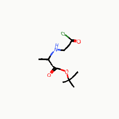 CC(NCC(=O)Cl)C(=O)OC(C)(C)C